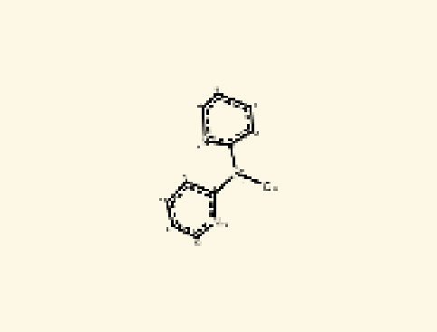 [O-][S+](c1ccccn1)c1ccccn1